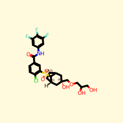 C[C@H]1C[C@H]2C[C@](O)(COCC(O)CO)CC1C2S(=O)(=O)c1cc(C(=O)Nc2cc(F)c(F)c(F)c2)ccc1Cl